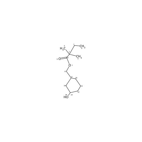 CCC(C)(C)C(=O)OCC1CCCC(O)C1